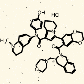 CN1CCCc2cc(N(C(=O)c3cc(-c4cc5c(cc4C(=O)N4Cc6ccccc6C[C@H]4CN4CCOCC4)OCCO5)n4c3CCCC4)c3ccc(O)cc3)ccc21.Cl